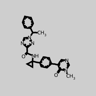 CC(c1ccccc1)n1cnc(C(=O)NC2(c3ccc(-c4cncn(C)c4=O)cc3)CC2)n1